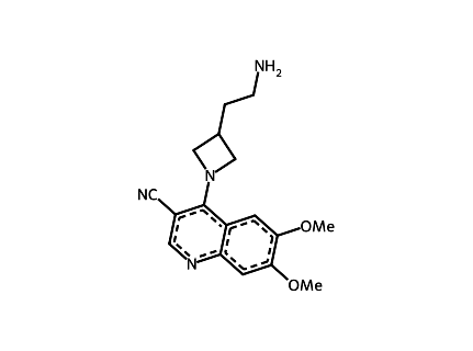 COc1cc2ncc(C#N)c(N3CC(CCN)C3)c2cc1OC